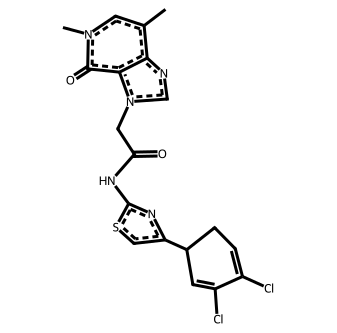 Cc1cn(C)c(=O)c2c1ncn2CC(=O)Nc1nc(C2C=C(Cl)C(Cl)=CC2)cs1